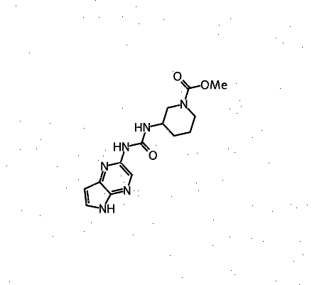 COC(=O)N1CCCC(NC(=O)Nc2cnc3[nH]ccc3n2)C1